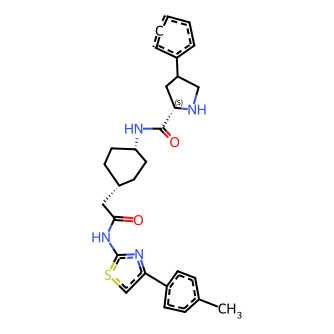 Cc1ccc(-c2csc(NC(=O)C[C@H]3CC[C@@H](NC(=O)[C@@H]4CC(c5ccccc5)CN4)CC3)n2)cc1